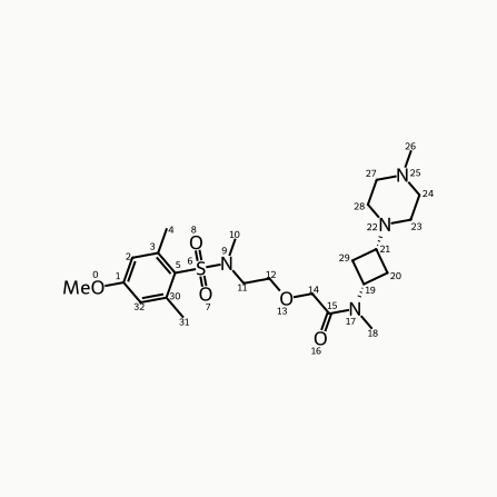 COc1cc(C)c(S(=O)(=O)N(C)CCOCC(=O)N(C)[C@H]2C[C@@H](N3CCN(C)CC3)C2)c(C)c1